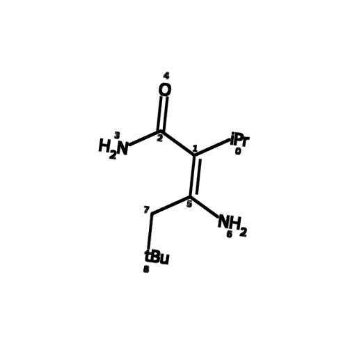 CC(C)C(C(N)=O)=C(N)CC(C)(C)C